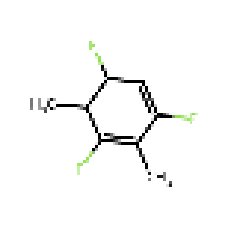 CC1=C(F)C(C)C(F)C=C1F